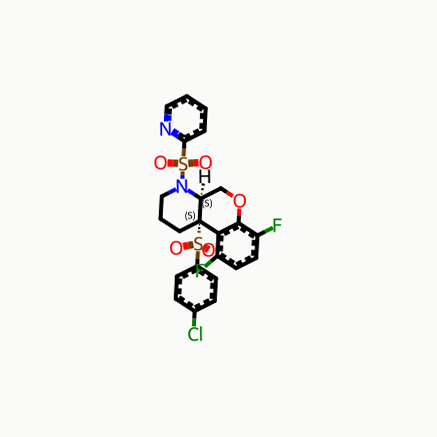 O=S(=O)(c1ccccn1)N1CCC[C@]2(S(=O)(=O)c3ccc(Cl)cc3)c3c(F)ccc(F)c3OC[C@H]12